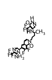 C[C@@H](CCCn1ccc2cc(-c3cnc(C(F)(F)F)c(N)n3)c(F)c(F)c2c1=O)Nc1cn[nH]c(=O)c1C(F)(F)F